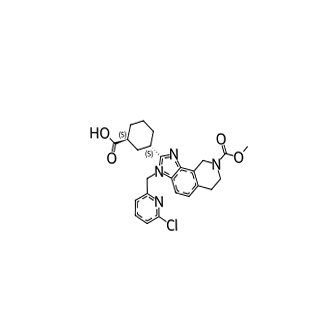 COC(=O)N1CCc2ccc3c(nc([C@H]4CCC[C@H](C(=O)O)C4)n3Cc3cccc(Cl)n3)c2C1